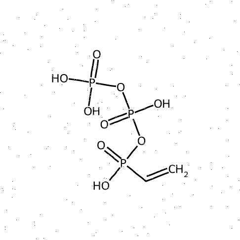 C=CP(=O)(O)OP(=O)(O)OP(=O)(O)O